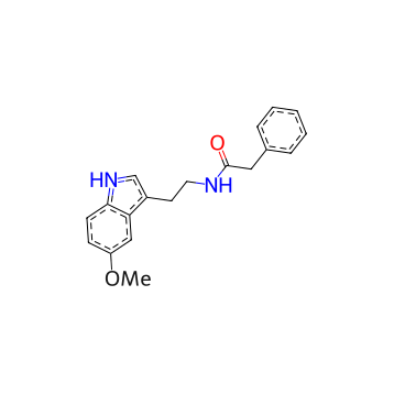 COc1ccc2[nH]cc(CCNC(=O)Cc3ccccc3)c2c1